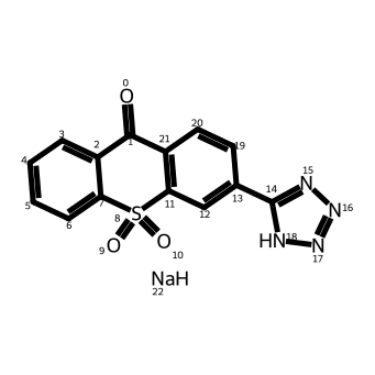 O=C1c2ccccc2S(=O)(=O)c2cc(-c3nnn[nH]3)ccc21.[NaH]